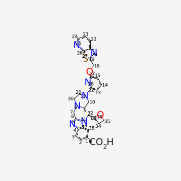 O=C(O)c1ccc2nc(CN3CCN(c4cccc(OCc5nc6cccnc6s5)n4)CC3)n(C[C@@H]3CCO3)c2c1